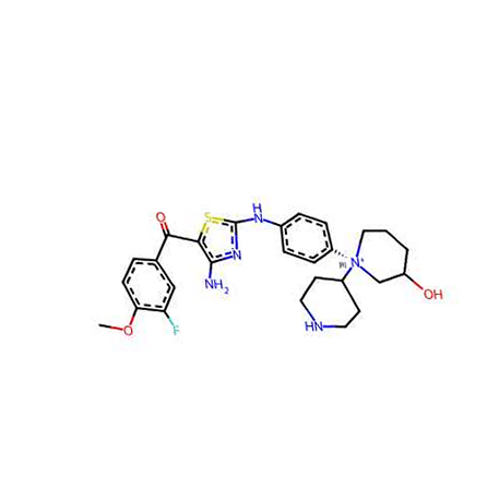 COc1ccc(C(=O)c2sc(Nc3ccc([N@+]4(C5CCNCC5)CCCC(O)C4)cc3)nc2N)cc1F